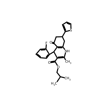 CC1=C(C(=O)OCC(C)C)C(c2ccccc2F)C2=C(CC(c3cccs3)CC2=O)N1